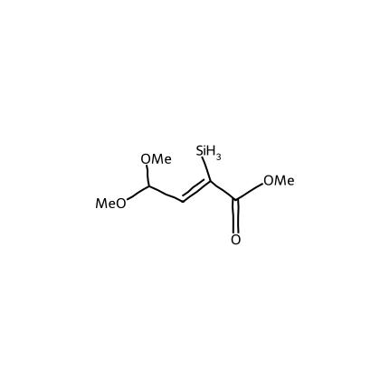 COC(=O)C([SiH3])=CC(OC)OC